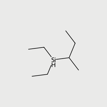 CCC(C)[SiH](CC)CC